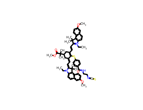 CCN1/C(=C/C=C2\CC(C(C)(C)C(=O)OC)CC(/C=C/C3=[N+](CC)c4ccc5cc(OC)ccc5c4C3(C)C)=C2Sc2ccc(C(=O)NCCN=C=S)cc2)C(C)(C)c2c1ccc1cc(OC)ccc21